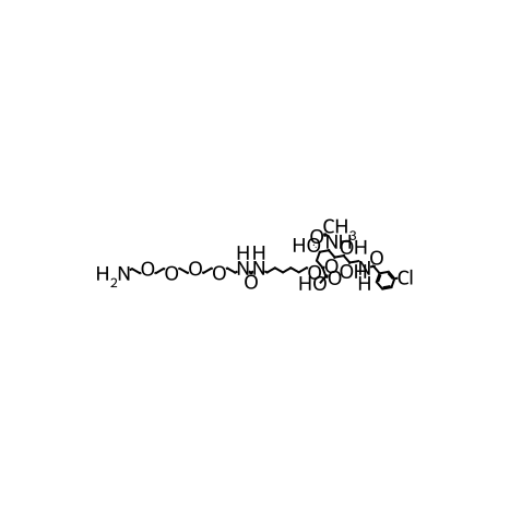 CC(=O)N[C@H]1[C@H]([C@H](O)[C@H](O)CNC(=O)c2cccc(Cl)c2)O[C@@](OCCCCCCNC(=O)NCCOCCOCCOCCOCCN)(C(=O)O)C[C@@H]1O